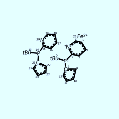 CC(C)(C)P(c1ccccn1)[c-]1cccc1.CC(C)(C)P(c1ccccn1)[c-]1cccc1.[Fe+2]